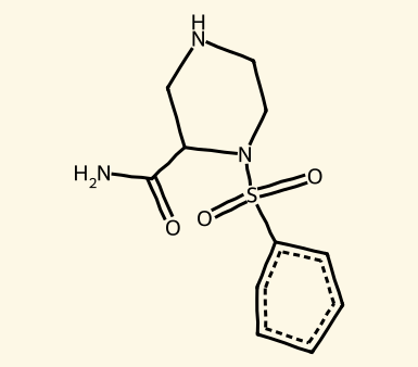 NC(=O)C1CNCCN1S(=O)(=O)c1ccccc1